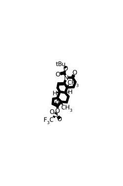 CC(C)(C)OC(=O)N1C(=O)CC[C@@]2(C)C1=CC[C@@H]1[C@@H]2CC[C@]2(C)C(OS(=O)(=O)C(F)(F)F)=CC[C@@H]12